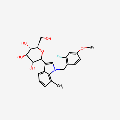 Cc1cccc2c([C@@H]3O[C@H](CO)[C@@H](O)[C@H](O)[C@H]3O)cn(Cc3ccc(OC(C)C)cc3F)c12